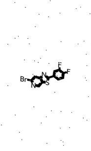 Fc1ccc(-c2nc3cc(Br)ncc3s2)cc1F